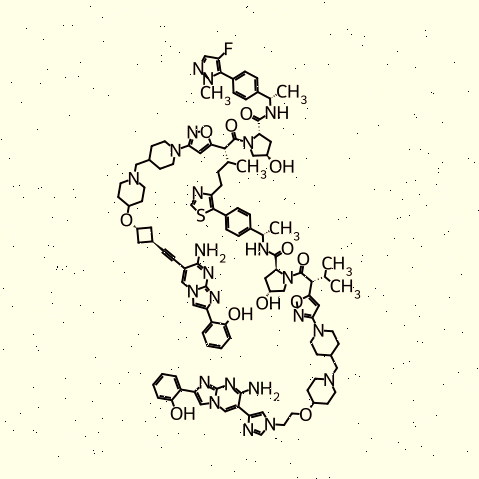 CC(C)[C@@H](C(=O)N1C[C@H](O)C[C@H]1C(=O)N[C@@H](C)c1ccc(-c2scnc2CCC(C)[C@@H](C(=O)N2C[C@H](O)C[C@H]2C(=O)N[C@@H](C)c2ccc(-c3c(F)cnn3C)cc2)c2cc(N3CCC(CN4CCC(O[C@H]5C[C@H](C#Cc6cn7cc(-c8ccccc8O)nc7nc6N)C5)CC4)CC3)no2)cc1)c1cc(N2CCC(CN3CCC(OCCn4cnc(-c5cn6cc(-c7ccccc7O)nc6nc5N)c4)CC3)CC2)no1